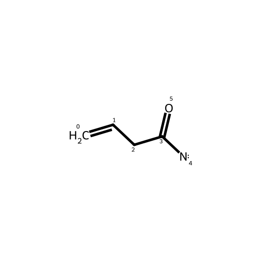 C=CCC([N])=O